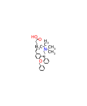 CC(C)N(CC[C@H](c1ccccc1)c1cc(C=CCCCC(=O)O)ccc1OCc1ccccc1)C(C)C